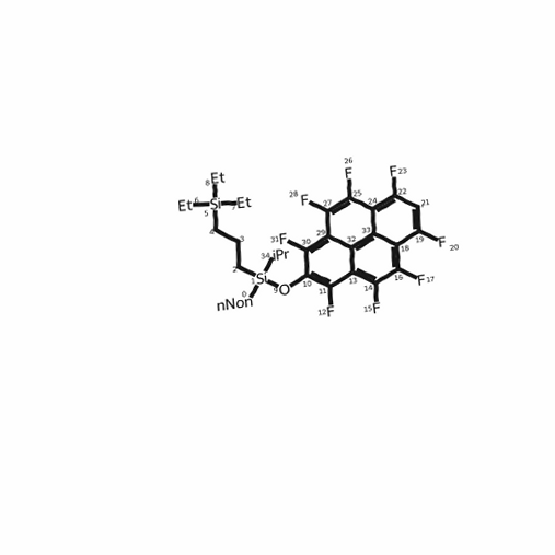 CCCCCCCCC[Si](CCC[Si](CC)(CC)CC)(Oc1c(F)c2c(F)c(F)c3c(F)[c]c(F)c4c(F)c(F)c(c1F)c2c34)C(C)C